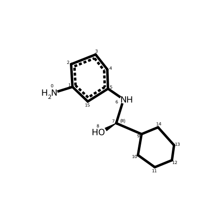 Nc1cccc(N[C@H](O)C2CCCCC2)c1